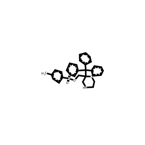 Cc1ccc(S(=O)(=O)OCC2(C(c3ccccc3)(c3ccccc3)c3ccccc3)CNCCO2)cc1